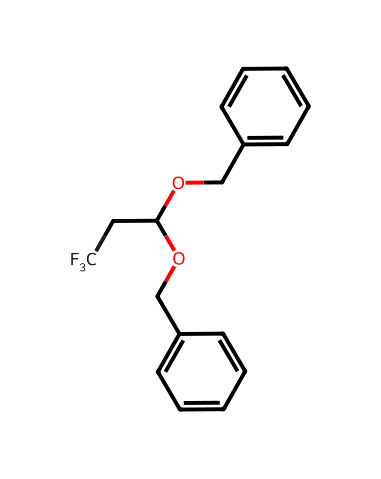 FC(F)(F)CC(OCc1ccccc1)OCc1ccccc1